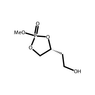 COP1(=O)OC[C@@H](CCO)O1